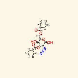 [N-]=[N+]=NC1C(OC(=O)c2ccccc2)[C@H](O)C(COC(=O)c2ccccc2)O[C@H]1O